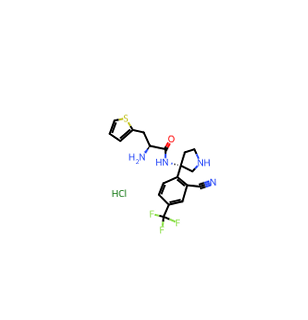 Cl.N#Cc1cc(C(F)(F)F)ccc1[C@@]1(NC(=O)[C@@H](N)Cc2cccs2)CCNC1